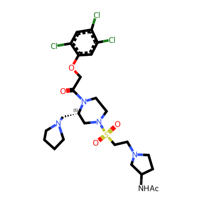 CC(=O)NC1CCN(CCS(=O)(=O)N2CCN(C(=O)COc3cc(Cl)c(Cl)cc3Cl)[C@@H](CN3CCCC3)C2)C1